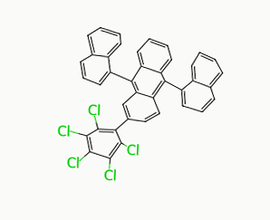 Clc1c(Cl)c(Cl)c(-c2ccc3c(-c4cccc5ccccc45)c4ccccc4c(-c4cccc5ccccc45)c3c2)c(Cl)c1Cl